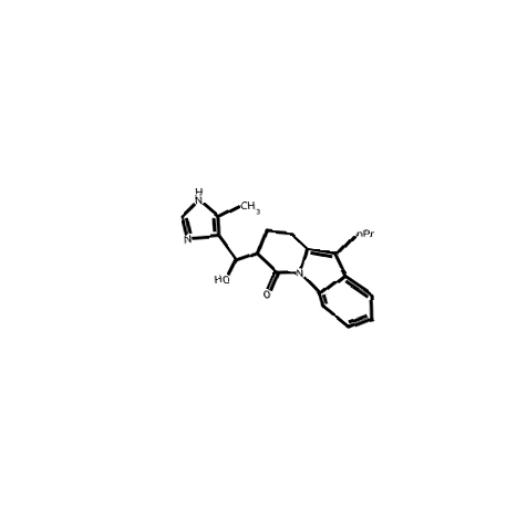 CCCc1c2n(c3ccccc13)C(=O)C(C(O)c1nc[nH]c1C)CC2